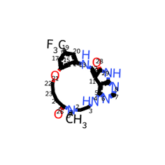 CN1CCNc2ncnc3c2/C(=C/Nc2cc(cc(C(F)(F)F)c2)OCCCC1=O)C(=O)N3